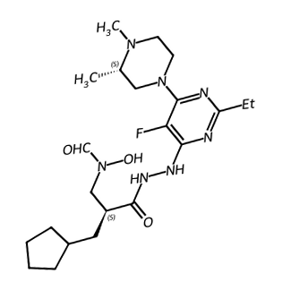 CCc1nc(NNC(=O)[C@@H](CC2CCCC2)CN(O)C=O)c(F)c(N2CCN(C)[C@@H](C)C2)n1